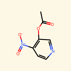 CC(=O)Oc1cnccc1[N+](=O)[O-]